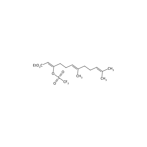 CCOC(=O)/C=C(/CC/C=C(\C)CCC=C(C)C)OS(=O)(=O)C(F)(F)F